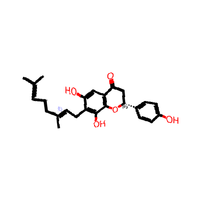 CC(C)=CCC/C(C)=C/Cc1c(O)cc2c(c1O)O[C@@H](c1ccc(O)cc1)CC2=O